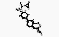 CC(Nc1ccc(-c2ccc3cc(C#N)nnc3c2)cc1)C1CC1